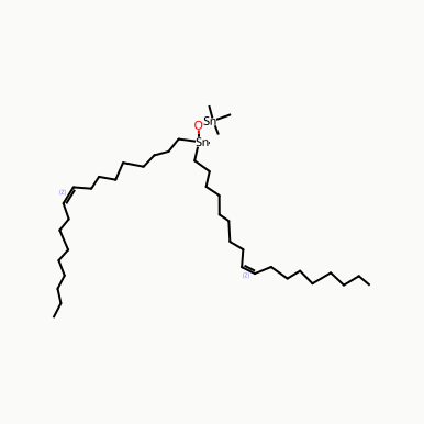 CCCCCCCC/C=C\CCCCCCC[CH2][Sn]([CH3])([CH2]CCCCCCC/C=C\CCCCCCCC)[O][Sn]([CH3])([CH3])[CH3]